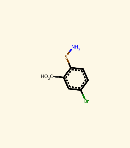 NSc1ccc(Br)cc1C(=O)O